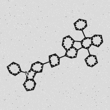 c1ccc(-c2c3c(c(-c4ccccc4)c4ccccc24)-c2ccc(-c4ccc(-c5ccc6c(c5)c5ccccc5n6-c5ccccc5)cc4)c4cccc-3c24)cc1